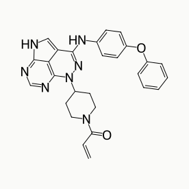 C=CC(=O)N1CCC(N2N=C(Nc3ccc(Oc4ccccc4)cc3)c3c[nH]c4ncnc2c34)CC1